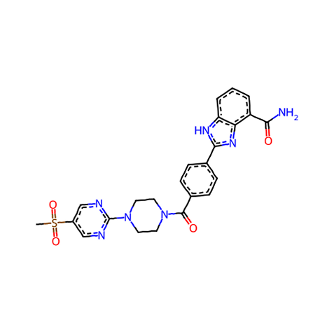 CS(=O)(=O)c1cnc(N2CCN(C(=O)c3ccc(-c4nc5c(C(N)=O)cccc5[nH]4)cc3)CC2)nc1